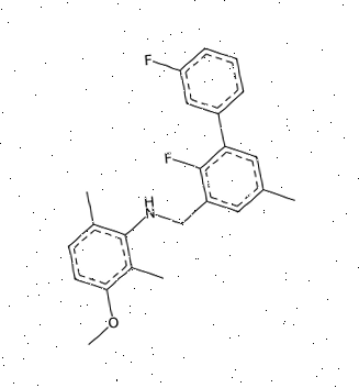 COc1ccc(C)c(NCc2cc(C)cc(-c3cccc(F)c3)c2F)c1C